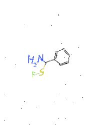 NC(SF)c1ccccc1